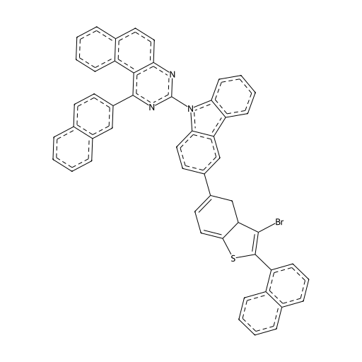 BrC1=C(c2cccc3ccccc23)SC2=CC=C(c3ccc4c(c3)c3ccccc3n4-c3nc(-c4ccc5ccccc5c4)c4c(ccc5ccccc54)n3)CC21